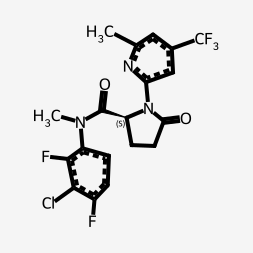 Cc1cc(C(F)(F)F)cc(N2C(=O)CC[C@H]2C(=O)N(C)c2ccc(F)c(Cl)c2F)n1